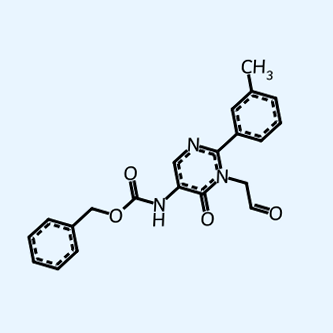 Cc1cccc(-c2ncc(NC(=O)OCc3ccccc3)c(=O)n2CC=O)c1